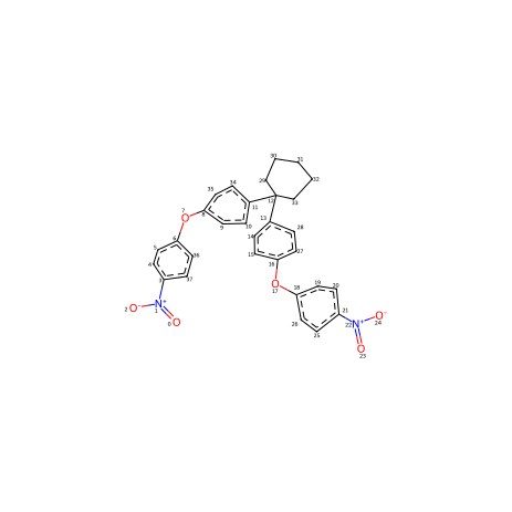 O=[N+]([O-])c1ccc(Oc2ccc(C3(c4ccc(Oc5ccc([N+](=O)[O-])cc5)cc4)CCCCC3)cc2)cc1